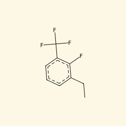 CCc1cccc(C(F)(F)F)c1F